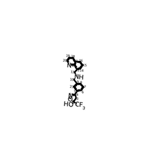 OC1(C(F)(F)F)CC(c2cccc(CNCc3cccc4cccnc34)c2)=NO1